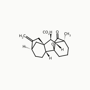 C=C1C[C@]23C[C@H]1CC[C@H]2C12CCC[C@](C)(C(=O)O1)[C@H]2[C@@H]3C(=O)O